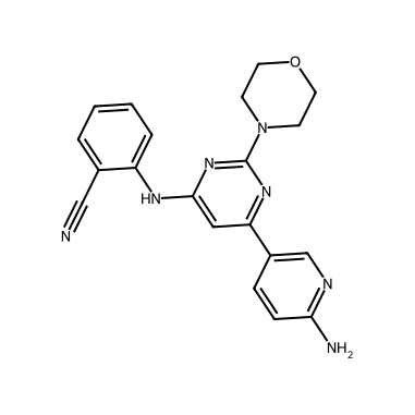 N#Cc1ccccc1Nc1cc(-c2ccc(N)nc2)nc(N2CCOCC2)n1